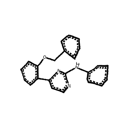 c1ccc(COc2ccccc2-c2ccnc(Nc3ccccc3)n2)cc1